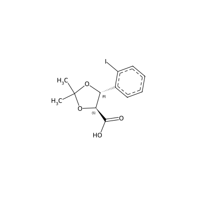 CC1(C)O[C@H](C(=O)O)[C@@H](c2ccccc2I)O1